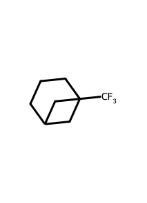 FC(F)(F)C12CCCC(C1)C2